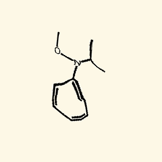 CON(c1ccccc1)C(C)C